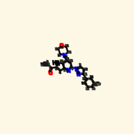 CCCCC(=O)C1=Cc2nc(-n3ccc(-c4cccc(C)c4)n3)cc(N3CCOCC3)c2B1